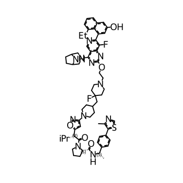 CCc1cccc2cc(O)cc(-c3ncc4c(N5CC6CCC(C5)N6)nc(OCCN5CCC(F)(CC6CCN(c7cc([C@H](C(=O)N8CCC[C@H]8C(=O)N[C@@H](C)c8ccc(-c9scnc9C)cc8)C(C)C)on7)CC6)CC5)nc4c3F)c12